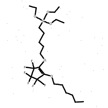 CCCCCCOC1=C(OCCCCC[Si](OCC)(OCC)OCC)C(F)(F)C(F)(F)C1(F)F